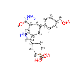 NC(=O)c1cc(-c2ccc(CO)cc2)cc2c(C3CCS(O)(O)CC3)c[nH]c12